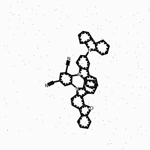 N#Cc1cc(C#N)c(-n2c3ccccc3c3cc(-n4c5ccccc5c5ccccc54)ccc32)c(-n2c3ccccc3c3c4oc5ccccc5c4ccc32)c1